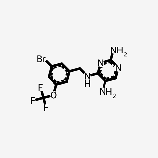 Nc1ncc(N)c(NCc2cc(Br)cc(OC(F)(F)F)c2)n1